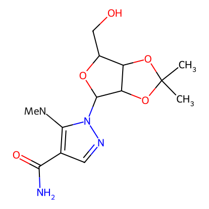 CNc1c(C(N)=O)cnn1C1OC(CO)C2OC(C)(C)OC21